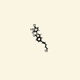 [2H]CCCC#Cc1ccc2c(c1)CN(C1CCC(=O)NC1=O)C2=O